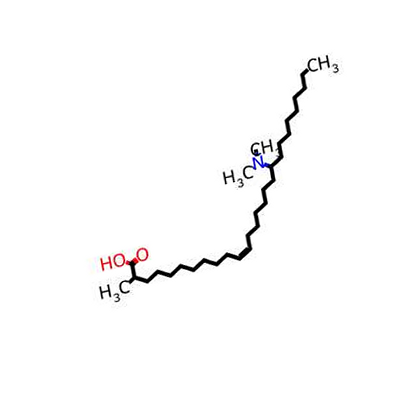 CCCCCCCCCC(CCCCCC/C=C\CCCCCCCCC(C)C(=O)O)N(C)C